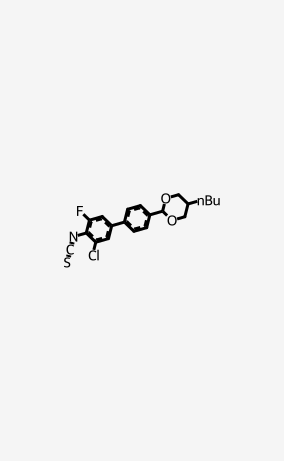 CCCCC1COC(c2ccc(-c3cc(F)c(N=C=S)c(Cl)c3)cc2)OC1